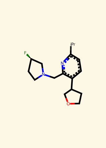 CC(C)c1ccc(C2CCOC2)c(CN2CC[C@@H](F)C2)n1